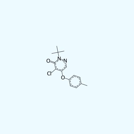 Cc1ccc(Oc2cnn(C(C)(C)C)c(=O)c2Cl)cc1